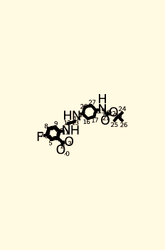 COC(=O)c1cc(F)ccc1NCCNC1CCC(NC(=O)OC(C)(C)C)CC1